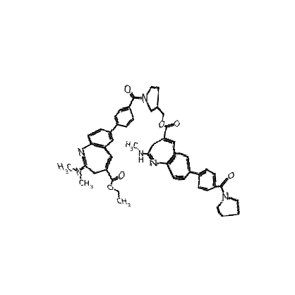 CCOC(=O)C1=Cc2cc(-c3ccc(C(=O)N4CCC(COC(=O)C5=Cc6cc(-c7ccc(C(=O)N8CCCC8)cc7)ccc6N=C(NC)C5)C4)cc3)ccc2N=C(N(C)C)C1